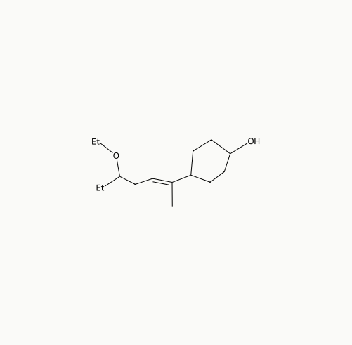 CCOC(CC)C/C=C(\C)C1CCC(O)CC1